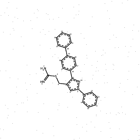 N=C(N)SCc1cn(-c2ccccc2)nc1-c1ccc(-c2ccccc2)cc1